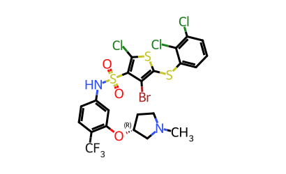 CN1CC[C@@H](Oc2cc(NS(=O)(=O)c3c(Cl)sc(Sc4cccc(Cl)c4Cl)c3Br)ccc2C(F)(F)F)C1